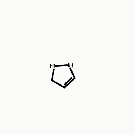 C1=C[IH][IH]C1